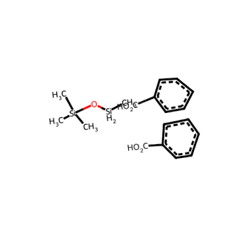 C[SiH2]O[Si](C)(C)C.O=C(O)c1ccccc1.O=C(O)c1ccccc1